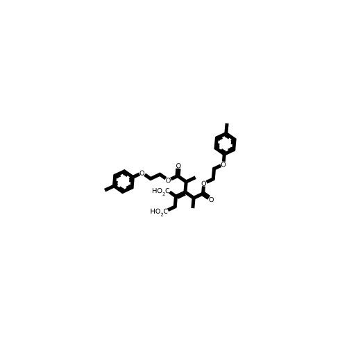 Cc1ccc(OCCOC(=O)C(C)C(=C(CC(=O)O)C(=O)O)C(C)C(=O)OCCOc2ccc(C)cc2)cc1